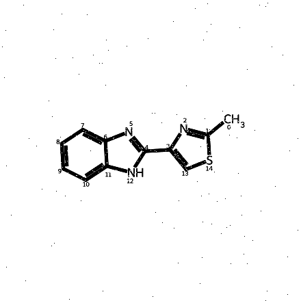 Cc1nc(-c2nc3ccccc3[nH]2)cs1